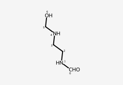 O=CNCCNCO